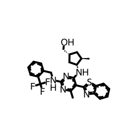 Cc1nc(NCc2ccccc2C(F)(F)F)nc(N[C@@H]2C[C@H](CO)C[C@H]2C)c1-c1nc2ccccc2s1